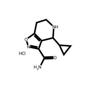 Cl.NC(=O)c1noc2c1C(C1CC1)NCC2